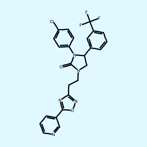 O=C1N(CCc2noc(-c3cccnc3)n2)CC(c2cccc(C(F)(F)F)c2)N1c1ccc(Cl)cc1